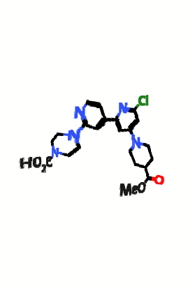 COC(=O)C1CCN(c2cc(Cl)nc(-c3ccnc(N4CCN(C(=O)O)CC4)c3)c2)CC1